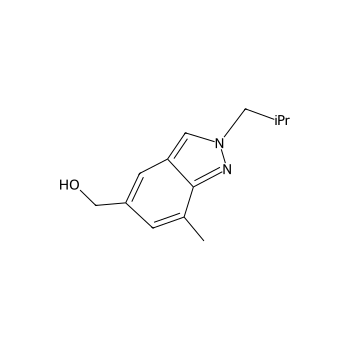 Cc1cc(CO)cc2cn(CC(C)C)nc12